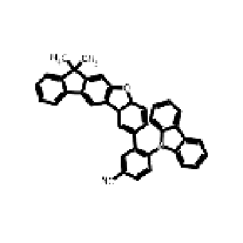 CC1(C)c2ccccc2-c2cc3c(cc21)OC1C=CC(c2cc(C#N)ccc2-n2c4ccccc4c4ccccc42)=CC31